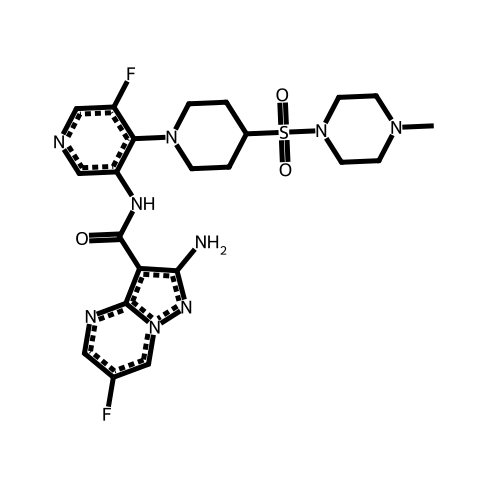 CN1CCN(S(=O)(=O)C2CCN(c3c(F)cncc3NC(=O)c3c(N)nn4cc(F)cnc34)CC2)CC1